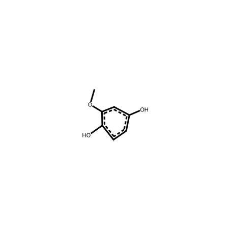 COc1cc(O)c[c]c1O